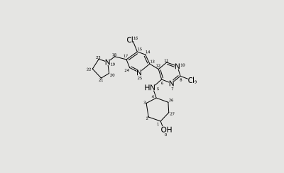 OC1CCC(Nc2nc(Cl)ncc2-c2cc(Cl)c(CN3CCCC3)cn2)CC1